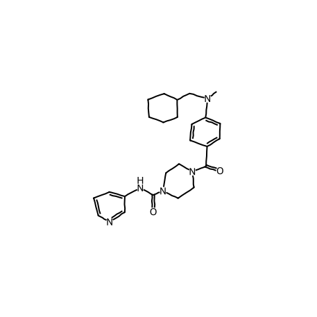 CN(CC1CCCCC1)c1ccc(C(=O)N2CCN(C(=O)Nc3cccnc3)CC2)cc1